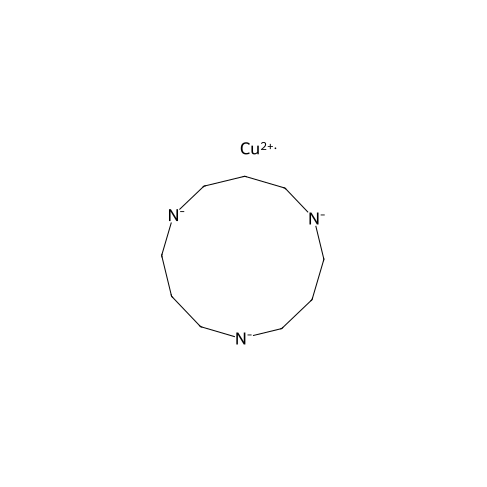 C1C[N-]CCC[N-]CCC[N-]C1.[Cu+2]